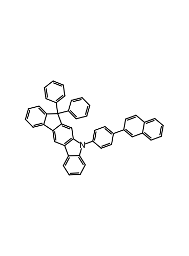 c1ccc(C2(c3ccccc3)c3ccccc3-c3cc4c5ccccc5n(-c5ccc(-c6ccc7ccccc7c6)cc5)c4cc32)cc1